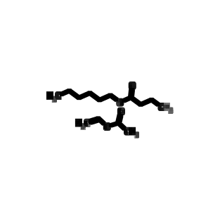 C=COC(C)=O.CCCCCCOC(=O)CCC